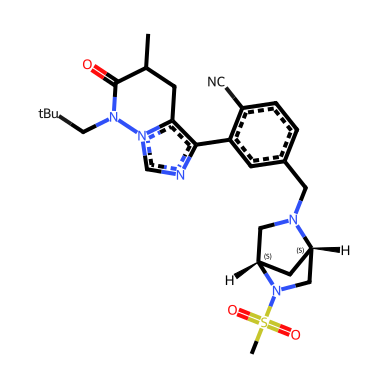 CC1Cc2c(-c3cc(CN4C[C@@H]5C[C@H]4CN5S(C)(=O)=O)ccc3C#N)ncn2N(CC(C)(C)C)C1=O